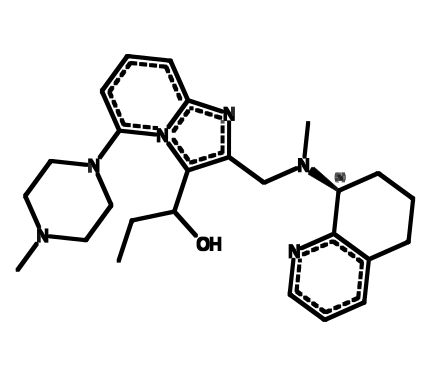 CCC(O)c1c(CN(C)[C@H]2CCCc3cccnc32)nc2cccc(N3CCN(C)CC3)n12